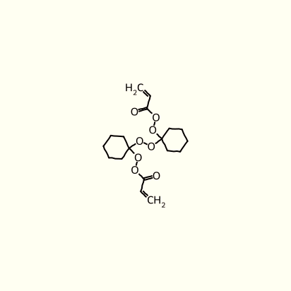 C=CC(=O)OOC1(OOC2(OOC(=O)C=C)CCCCC2)CCCCC1